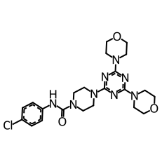 O=C(Nc1ccc(Cl)cc1)N1CCN(c2nc(N3CCOCC3)nc(N3CCOCC3)n2)CC1